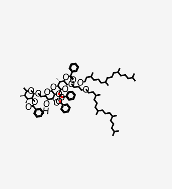 CC(C)CCCC(C)CCCC(C)CCCC(C)CCOCC(CO[C@@H]1OC(COC(=O)c2ccccc2)[C@@H](O[C@@H]2OC(CO[C@@H]3OC(C)[C@H](C)[C@H](C)C3OC(=O)c3ccccc3)[C@H](O)[C@H](C)C2OC(=O)c2ccccc2)[C@H](C)C1OC(=O)c1ccccc1)OCCC(C)CCCC(C)CCCC(C)CCCC(C)C